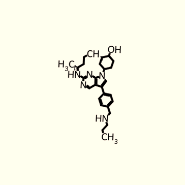 CCCNCc1ccc(-c2cn(C3CCC(O)CC3)c3nc(N[C@@H](C)CCC)ncc23)cc1